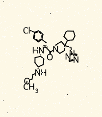 COCCN[C@H]1CC[C@H](N[C@H](Cc2ccc(Cl)cc2)C(=O)N2CCC(Cn3cncn3)(C3CCCCC3)CC2)CC1